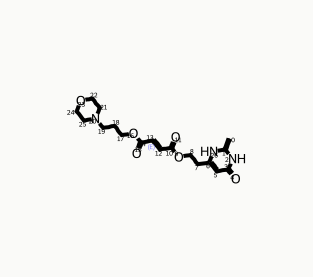 C=C1NC(=O)C=C(CCOC(=O)/C=C/C(=O)OCCCN2CCOCC2)N1